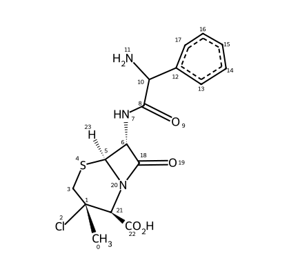 C[C@@]1(Cl)CS[C@H]2[C@H](NC(=O)C(N)c3ccccc3)C(=O)N2[C@H]1C(=O)O